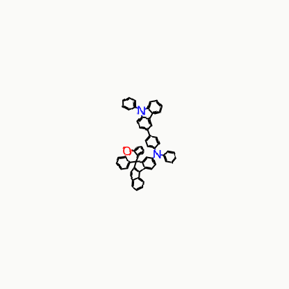 c1ccc(N(c2ccc(-c3ccc4c(c3)c3ccccc3n4-c3ccccc3)cc2)c2ccc3c(c2)C2(c4ccccc4Oc4ccccc42)c2ccc4ccccc4c2-3)cc1